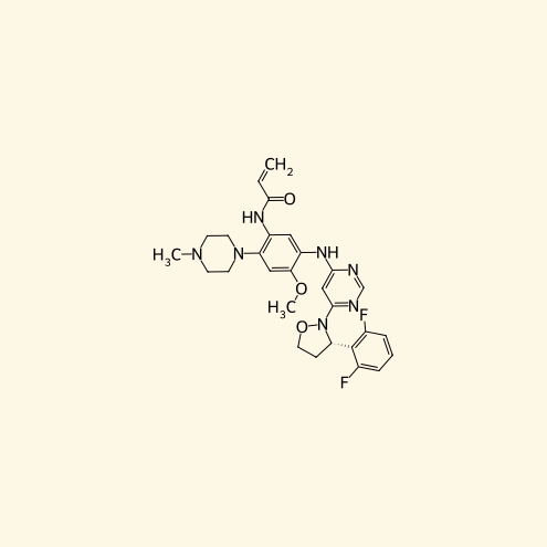 C=CC(=O)Nc1cc(Nc2cc(N3OCC[C@H]3c3c(F)cccc3F)ncn2)c(OC)cc1N1CCN(C)CC1